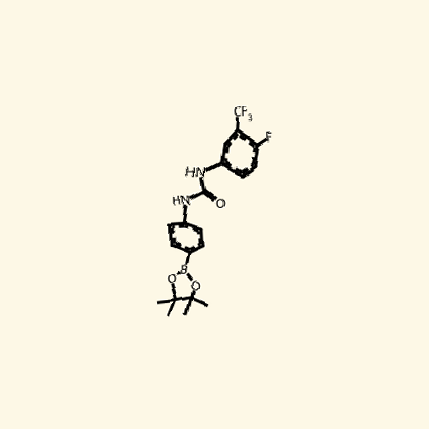 CC1(C)OB(c2ccc(NC(=O)Nc3ccc(F)c(C(F)(F)F)c3)cc2)OC1(C)C